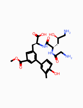 COC(=O)c1cc(C[C@H](NC(=O)[C@H](C[C@@H](O)CN)NC(=O)CN)C(=O)O)cc(-c2ccc(O)c(C)c2)c1